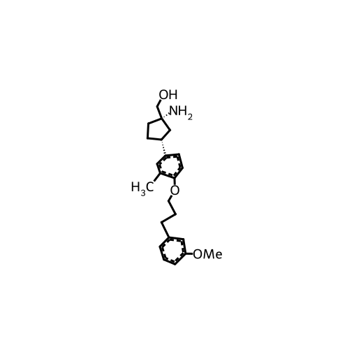 COc1cccc(CCCOc2ccc([C@@H]3CC[C@@](N)(CO)C3)cc2C)c1